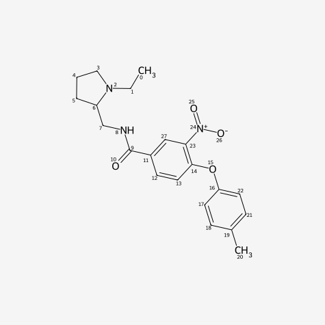 CCN1CCCC1CNC(=O)c1ccc(Oc2ccc(C)cc2)c([N+](=O)[O-])c1